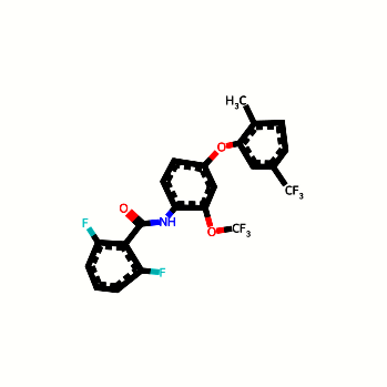 Cc1ccc(C(F)(F)F)cc1Oc1ccc(NC(=O)c2c(F)cccc2F)c(OC(F)(F)F)c1